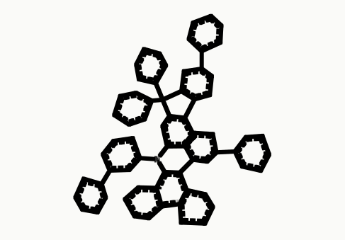 c1ccc(-c2cccc(-c3c(N(c4cccc(-c5ccccc5)c4)c4ccc5c(c4)C(c4ccccc4)(c4ccccc4)c4cc(-c6ccccc6)ccc4-5)c4ccccc4c4ccccc34)c2)cc1